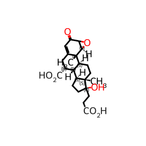 C[C@@]12C(=CC(=O)C3O[C@H]31)C[C@@H](C(=O)O)[C@@H]1[C@@H]2CC[C@@]2(C)[C@H]1CC[C@@]2(O)CCC(=O)O